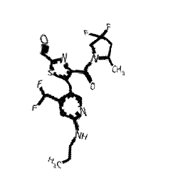 CCCNc1cc(C(F)F)c(-c2sc(C=O)nc2C(=O)N2CC(F)(F)CC2C)cn1